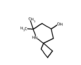 CC1(C)CC(O)CC2(CCC2)N1